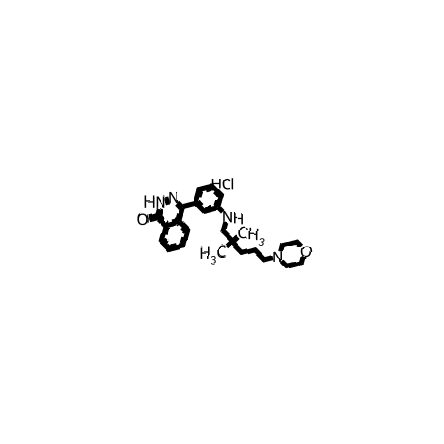 CC(C)(CCCN1CCOCC1)CNc1cccc(-c2n[nH]c(=O)c3ccccc23)c1.Cl